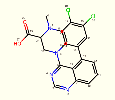 CN1CCN(c2ncnc3cccc(-c4ccc(Cl)c(Cl)c4)c23)CC1C(=O)O